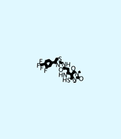 Cn1c(S)c(C(=N)CC(=O)Nc2nc(-c3ccc(C(F)(F)F)c(F)c3)cs2)c(=O)n(C)c1=O